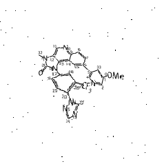 COc1cncc(-c2ccc3ncc4c(c3c2)n(-c2ccc(-n3cncn3)c(C(F)(F)F)c2)c(=O)n4C)c1